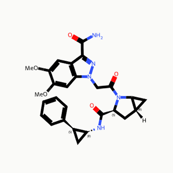 COc1cc2c(C(N)=O)nn(CC(=O)N3C4C[C@@H]4C[C@H]3C(=O)N[C@@H]3C[C@H]3c3ccccc3)c2cc1OC